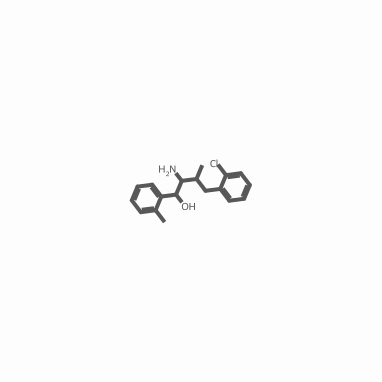 Cc1ccccc1C(O)C(N)C(C)Cc1ccccc1Cl